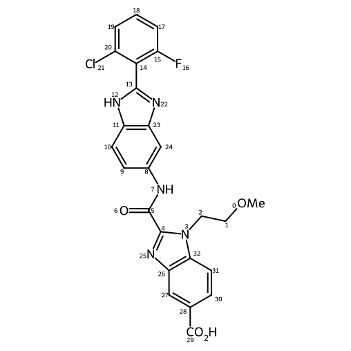 COCCn1c(C(=O)Nc2ccc3[nH]c(-c4c(F)cccc4Cl)nc3c2)nc2cc(C(=O)O)ccc21